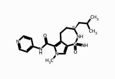 CC(C)C[C@@H]1CCc2c(cn(C)c2C(=O)Nc2ccncc2)S(=N)(=O)N1